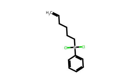 C=CCCCC[Si](Cl)(Cl)c1ccccc1